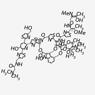 CN[C@H](CON/C(=C(\C)OC)c1nc(C(=O)N[C@@H]2c3nc(cs3)C(=O)N[C@H](c3nc(-c4nc(-c5nc(CNC(=O)CN(C)C)cs5)c(O)cc4-c4nc(CO)cs4)cs3)COC(=O)c3c4c5c(cccc5n3O)COC(=O)[C@@H](O[C@H]3C[C@](C)(O)[C@H](N(C)C)[C@H](C)O3)[C@H]2OC4)cs1)[C@@H](C)O